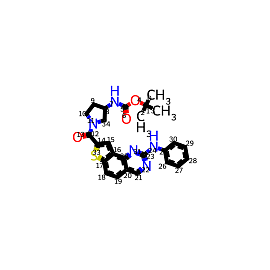 CC(C)(C)OC(=O)NC1CCN(C(=O)c2cc3c(ccc4cnc(Nc5ccccc5)nc43)s2)C1